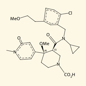 COCCc1ccc(Cl)c(CN(C(=O)[C@H]2CN(C(=O)O)CC[C@]2(OC)c2ccn(C)c(=O)c2)C2CC2)c1